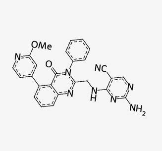 COc1cc(-c2cccc3nc(CNc4nc(N)ncc4C#N)n(-c4ccccc4)c(=O)c23)ccn1